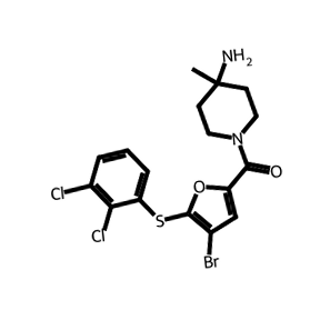 CC1(N)CCN(C(=O)c2cc(Br)c(Sc3cccc(Cl)c3Cl)o2)CC1